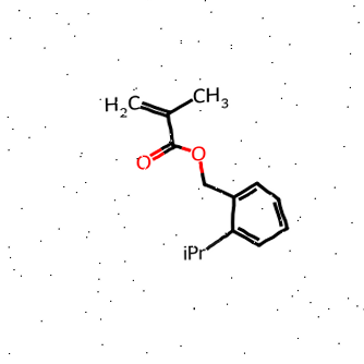 C=C(C)C(=O)OCc1ccccc1C(C)C